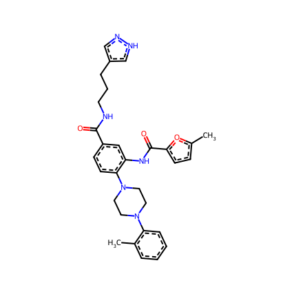 Cc1ccc(C(=O)Nc2cc(C(=O)NCCCc3cn[nH]c3)ccc2N2CCN(c3ccccc3C)CC2)o1